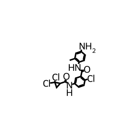 Cc1cc(N)ccc1NC(=O)c1cc(NC(=O)C2CC2(Cl)Cl)ccc1Cl